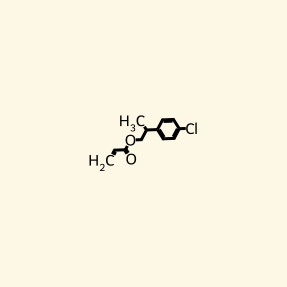 C=CC(=O)OCC(C)c1ccc(Cl)cc1